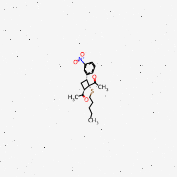 CCCCCS[C@]1(C(C)=O)[C@@H](C(C)=O)C[C@@H]1c1cccc([N+](=O)[O-])c1